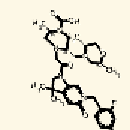 C[C@@H]1CO[C@@H](C)CN1C[C@H]1CN(C(=O)O)[C@H](C)CN1CC(=O)N1CC(C)(C)c2cc(=O)n(Cc3ccc(F)cc3F)cc21